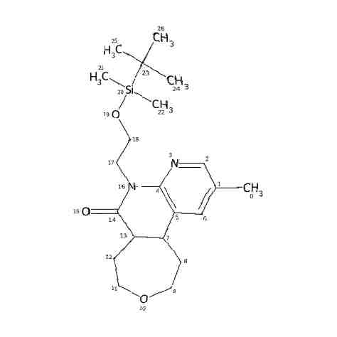 Cc1cnc2c(c1)C1CCOCCC1C(=O)N2CCO[Si](C)(C)C(C)(C)C